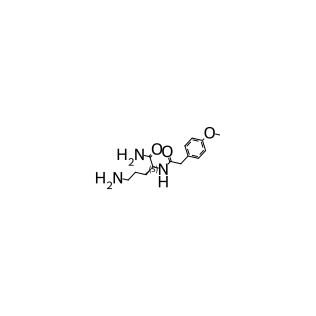 COc1ccc(CC(=O)N[C@@H](CCCN)C(N)=O)cc1